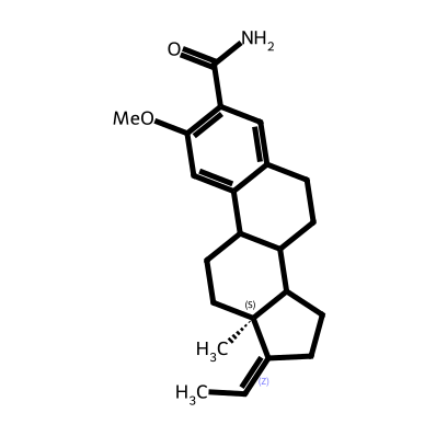 C/C=C1/CCC2C3CCc4cc(C(N)=O)c(OC)cc4C3CC[C@]12C